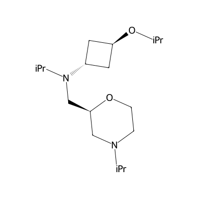 CC(C)O[C@H]1C[C@H](N(C[C@@H]2CN(C(C)C)CCO2)C(C)C)C1